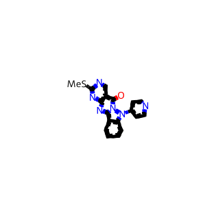 CSc1ncc2c(=O)n3c(nc2n1)c1ccccc1n3-c1ccncc1